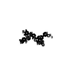 Cc1cc(-n2nc3c(c2-n2ccn(-c4ccc5c(cnn5C)c4F)c2=O)[C@H](C)N(C(=O)c2cn4cc(-c5ccnc(C(F)(F)F)c5)ccc4c2C2(c4noc(=O)[nH]4)CC2)CC3)cc(C)c1F